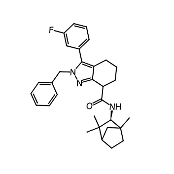 CC12CCC(C1)C(C)(C)[C@H]2NC(=O)C1CCCc2c1nn(Cc1ccccc1)c2-c1cccc(F)c1